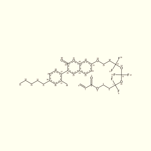 C=CC(=O)OCCC(F)(F)OC(F)(F)OC(F)(F)CCOc1ccc2cc(-c3ccc(CCCCC)cc3C)c(=O)oc2c1